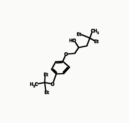 CCC(C)(CC)CC(O)COc1ccc(OC(C)(CC)CC)cc1